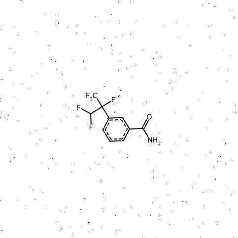 NC(=O)c1cccc(C(F)(C(F)F)C(F)(F)F)c1